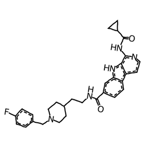 O=C(NCCC1CCN(Cc2ccc(F)cc2)CC1)c1ccc2c(c1)[nH]c1c(NC(=O)C3CC3)nccc12